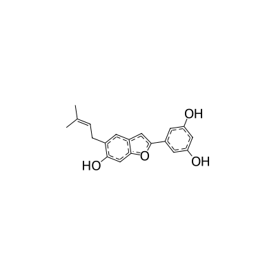 CC(C)=CCc1cc2cc(-c3cc(O)cc(O)c3)oc2cc1O